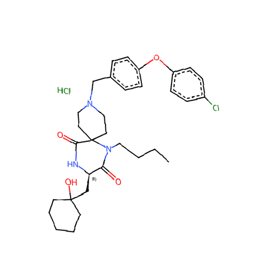 CCCCN1C(=O)[C@@H](CC2(O)CCCCC2)NC(=O)C12CCN(Cc1ccc(Oc3ccc(Cl)cc3)cc1)CC2.Cl